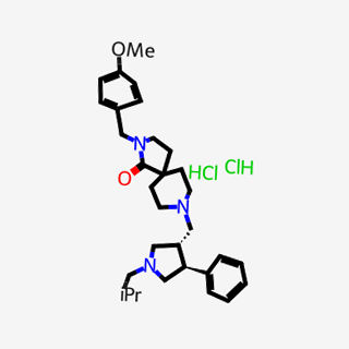 COc1ccc(CN2CCC3(CCN(C[C@H]4CN(CC(C)C)C[C@@H]4c4ccccc4)CC3)C2=O)cc1.Cl.Cl